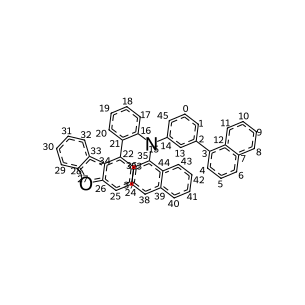 c1cc(-c2cccc3ccccc23)cc(N(c2ccccc2-c2cccc3oc4ccccc4c23)c2cccc3ccccc23)c1